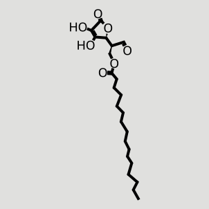 CCCCCCCCCCCCCCCC(=O)OC[C@H](C=O)[C@H]1OC(=O)C(O)=C1O